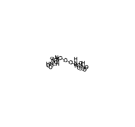 COC(=O)NC(C(=O)N1CCCC1c1ncc(-c2ccc(-c3ccc(-c4ccc5nc(C6C7CCC(C7)N6C(=O)C(NC(=O)OC)C(C)C)[nH]c5c4)cc3)cc2)[nH]1)C(C)C